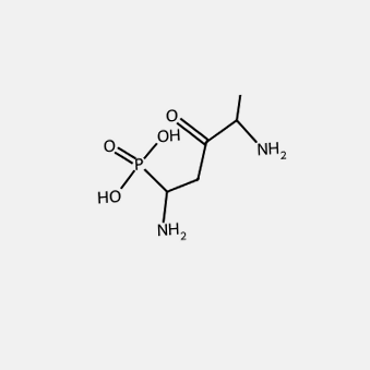 CC(N)C(=O)CC(N)P(=O)(O)O